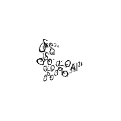 O=S(=O)([O-])[O-].O=S(=O)([O-])[O-].O=S(=O)([O-])[O-].[Al+3].[Ce+3]